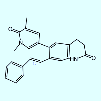 Cc1cc(-c2cc3c(cc2/C=C/c2ccccc2)NC(=O)CC3)cn(C)c1=O